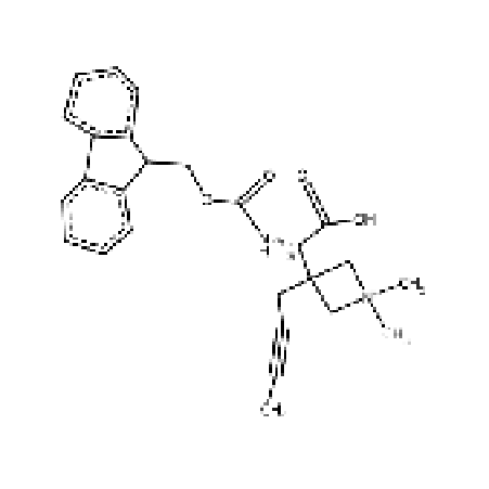 CC#CCC1([C@H](NC(=O)OCC2c3ccccc3-c3ccccc32)C(=O)O)C[N+](C)(C)C1